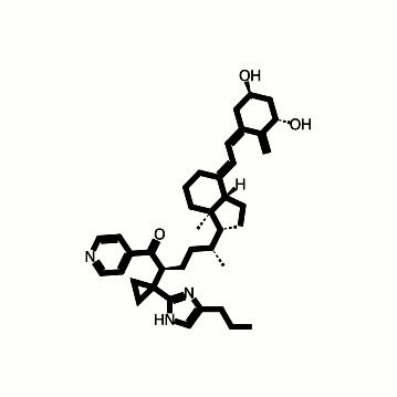 C=C1/C(=C\C=C2/CCC[C@]3(C)[C@@H]([C@H](C)CC[C@H](C(=O)c4ccncc4)C4(c5nc(CCC)c[nH]5)CC4)CC[C@@H]23)C[C@@H](O)C[C@@H]1O